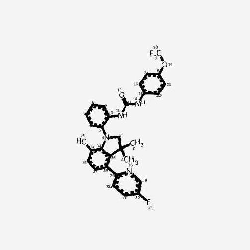 CC1(C)CN(c2ccccc2NC(=O)Nc2ccc(OC(F)(F)F)cc2)c2c(O)ccc(-c3ccc(F)cn3)c21